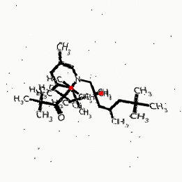 CC(CC(C)CC(C)(C)C)CN(CC(C)(C)CC(C)CC(C)(C)C)C(C)(C)C(C)(C)C(=O)C(C)(C)C